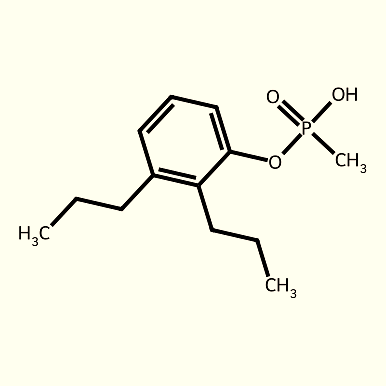 CCCc1cccc(OP(C)(=O)O)c1CCC